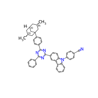 C[C@@H]1C[C@@H]2C[C@H](C)CC(c3ccc(-c4nc(-c5ccccc5)nc(-c5ccc6c(c5)c5ccccc5n6-c5ccc(C#N)cc5)n4)cc3)(C1)C2